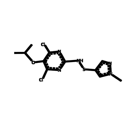 CC(C)Oc1c(Cl)nc(NSc2cnn(C)c2)nc1Cl